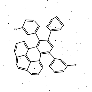 Brc1cccc(-c2cc(-c3ccccc3)c(-c3cccc(Br)c3)c3c4cccc5ccc6cccc(c23)c6c54)c1